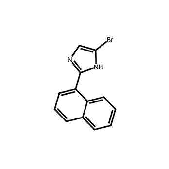 Brc1cnc(-c2cccc3ccccc23)[nH]1